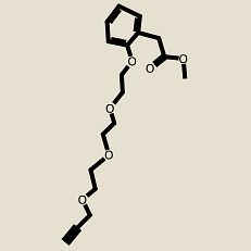 C#CCOCCOCCOCCOc1ccccc1CC(=O)OC